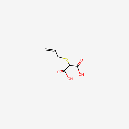 C=CCSC(C(=O)O)C(=O)O